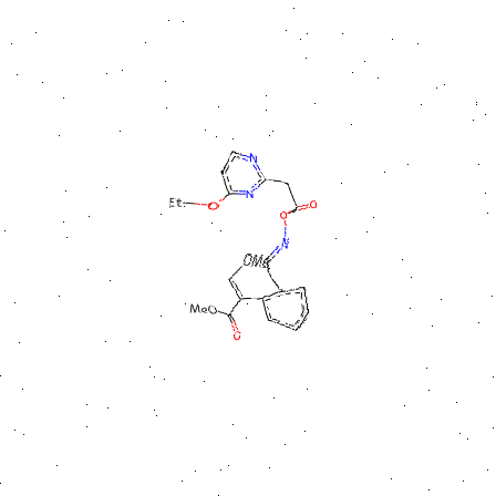 CCOc1ccnc(CC(=O)O/N=C/c2ccccc2/C(=C\OC)C(=O)OC)n1